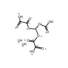 O=C(O)OB(OC(=O)C(=O)O)OC(=O)C(=O)O.[LiH].[LiH]